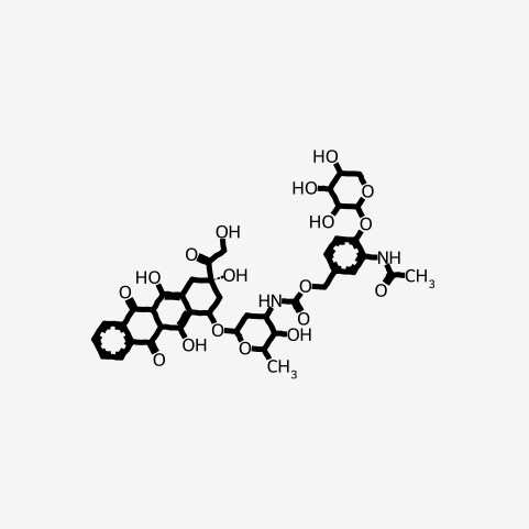 CC(=O)Nc1cc(COC(=O)NC2CC(OC3C[C@](O)(C(=O)CO)CC4=C(O)C5C(=O)c6ccccc6C(=O)C5C(O)=C43)OC(C)C2O)ccc1OC1OCC(O)C(O)C1O